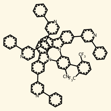 N#Cc1cc(-n2c3cc(-c4ccnc(-c5ccccc5)c4)ccc3c3ccc(-c4ccnc(-c5ccccc5)c4)cc32)c(-n2c3cc(-c4ccnc(-c5ccccc5)c4)ccc3c3ccc(-c4ccnc(-c5ccccc5)c4)cc32)cc1-c1c(C(F)(F)F)cccc1C(F)(F)F